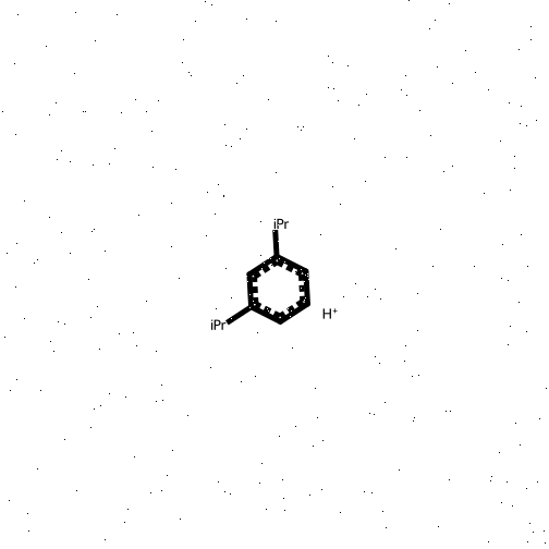 CC(C)c1cccc(C(C)C)c1.[H+]